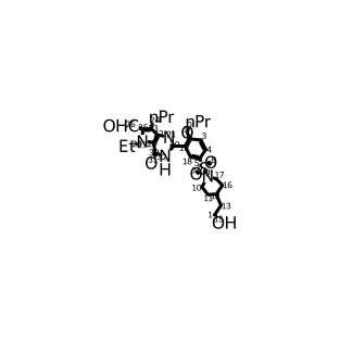 CCCOc1ccc(S(=O)(=O)N2CCC(CCO)CC2)cc1-c1nc2c(CCC)c(C=O)n(CC)c2c(=O)[nH]1